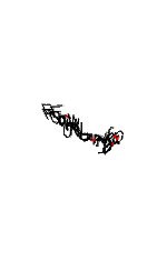 Cc1ccc(C(C)C)c(N2C(=O)CS/C2=N\N=C\c2ccc(-c3nc(N4CCc5cc(OC(F)(F)F)ccc5C4=O)n(C)n3)cc2)c1